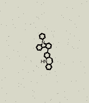 C1=Cc2cc(-c3cccc4c3c3ccccc3n4-c3ccccc3)ccc2Nc2ccccc21